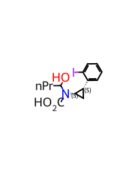 CCCC(O)N(C(=O)O)[C@H]1C[C@H]1c1ccccc1I